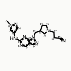 Cn1cc(Nc2ncc3cnn(CC4CCN(CCC#N)C4)c3n2)cn1